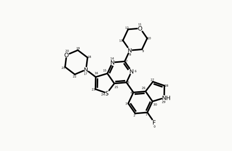 Fc1ccc(-c2nc(N3CCOCC3)nc3c(N4CCOCC4)csc23)c2cc[nH]c12